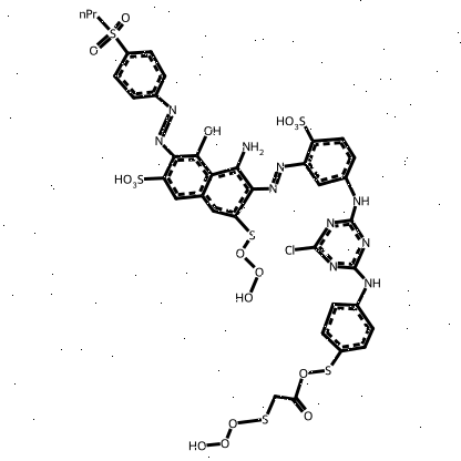 CCCS(=O)(=O)c1ccc(N=Nc2c(S(=O)(=O)O)cc3cc(SOOO)c(N=Nc4cc(Nc5nc(Cl)nc(Nc6ccc(SOC(=O)CSOOO)cc6)n5)ccc4S(=O)(=O)O)c(N)c3c2O)cc1